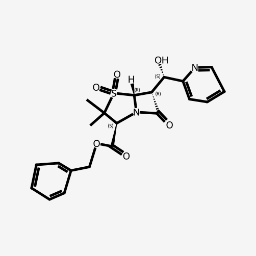 CC1(C)[C@H](C(=O)OCc2ccccc2)N2C(=O)[C@@H]([C@H](O)c3ccccn3)[C@H]2S1(=O)=O